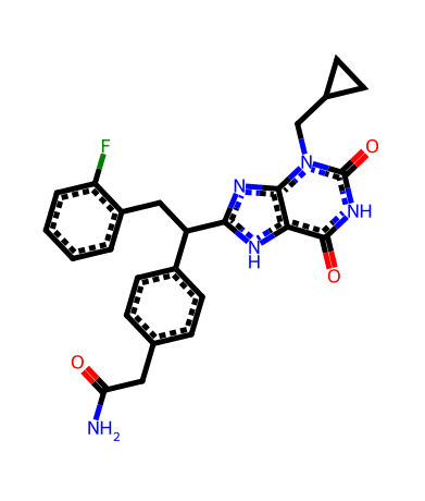 NC(=O)Cc1ccc(C(Cc2ccccc2F)c2nc3c([nH]2)c(=O)[nH]c(=O)n3CC2CC2)cc1